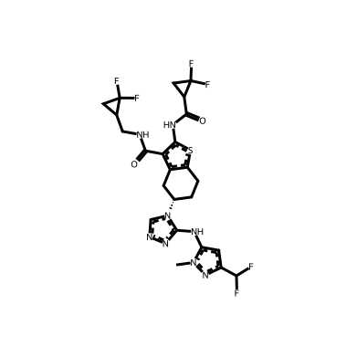 Cn1nc(C(F)F)cc1Nc1nncn1[C@H]1CCc2sc(NC(=O)C3CC3(F)F)c(C(=O)NCC3CC3(F)F)c2C1